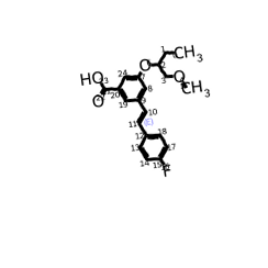 CCC(COC)Oc1cc(/C=C/c2ccc(F)cc2)cc(C(=O)O)c1